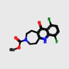 CC(C)(C)OC(=O)N1CCc2[nH]c3c(F)ccc(F)c3c(=O)c2CC1